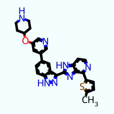 Cc1ccc(-c2nccc3[nH]c(-c4n[nH]c5ccc(-c6cncc(OC7CCNCC7)c6)cc45)nc23)s1